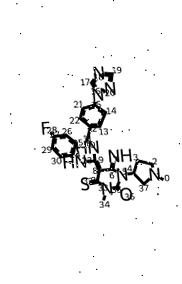 CN1CCC(N2C(=N)/C(=C(\NCc3ccc(-n4cncn4)cc3)Nc3ccc(F)cc3)C(=S)N(C)C2=O)C1